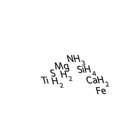 N.S.[CaH2].[Fe].[MgH2].[SiH4].[Ti]